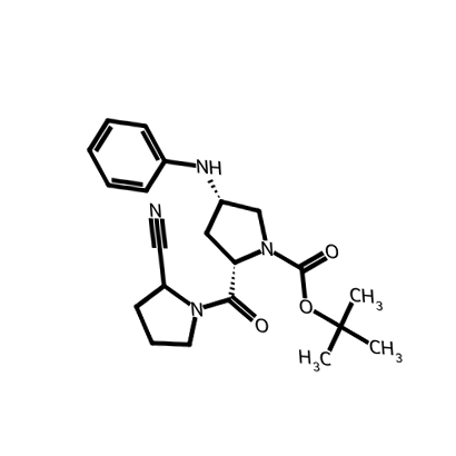 CC(C)(C)OC(=O)N1C[C@@H](Nc2ccccc2)C[C@H]1C(=O)N1CCCC1C#N